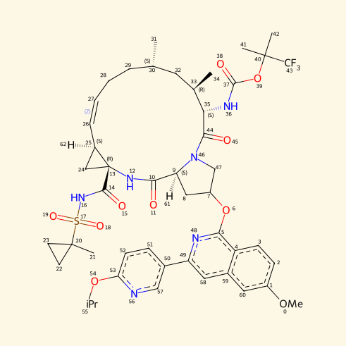 COc1ccc2c(OC3C[C@H]4C(=O)N[C@]5(C(=O)NS(=O)(=O)C6(C)CC6)C[C@H]5/C=C\CC[C@H](C)C[C@@H](C)[C@H](NC(=O)OC(C)(C)C(F)(F)F)C(=O)N4C3)nc(-c3ccc(OC(C)C)nc3)cc2c1